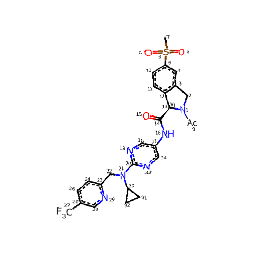 CC(=O)N1Cc2cc(S(C)(=O)=O)ccc2[C@@H]1C(=O)Nc1cnc(N(Cc2ccc(C(F)(F)F)cn2)C2CC2)nc1